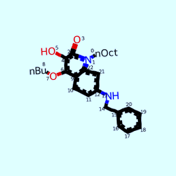 CCCCCCCCn1c(=O)c(O)c(OCCCC)c2ccc(NCc3ccccc3)cc21